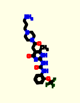 Cc1[nH]c(NC(=O)Nc2ccccc2OC(F)(F)F)nc(=O)c1CC(=O)N1CCN(CCCN)CC1